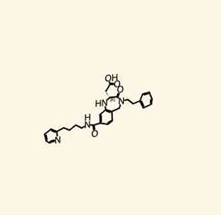 O=C(O)C[C@H]1Nc2cc(C(=O)NCCCCc3ccccn3)ccc2CN(CCc2ccccc2)C1=O